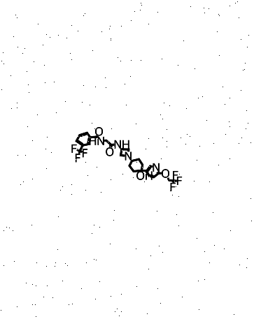 O=C(CNC(=O)c1cccc(C(F)(F)F)c1)NC1CN(C2CCC(O)(c3ccc(OCC(F)(F)F)nc3)CC2)C1